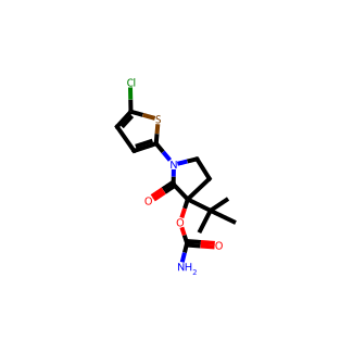 CC(C)(C)C1(OC(N)=O)CCN(c2ccc(Cl)s2)C1=O